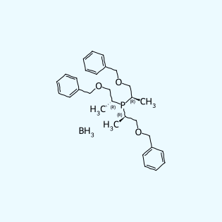 B.C[C@H](COCc1ccccc1)P([C@H](C)COCc1ccccc1)[C@H](C)COCc1ccccc1